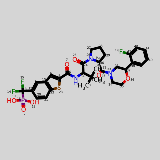 CC(C)(C)C(NC(=O)c1cc2cc(C(F)(F)P(=O)(O)O)ccc2s1)C(=O)N1CCC[C@H]1C(=O)N1CCOC(c2ccccc2F)C1